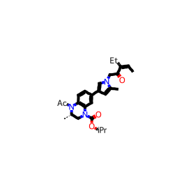 C/C=C(/CC)C(=O)Cn1cc(-c2ccc3c(c2)N(C(=O)OC(C)C)C[C@H](C)N3C(C)=O)cc1C